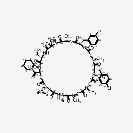 CC[C@@H]1NC(=O)[C@H](Cc2cccc(I)c2)NC(=O)CN(C)C(=O)[C@H](Cc2ccc(Cl)cc2)N(C)C(=O)CN(C)C(=O)CN(C)C(=O)[C@H]([C@@H](C)CC)NC(=O)[C@H](CC(C)C)N(C)C(=O)C[C@@H](C(=O)N2CCCCC2)N(C)C(=O)[C@H](CC(C)C)NC(=O)C(C)(C)N(C)C1=O